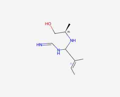 C/C=C(\C)C(NC=N)N[C@H](C)CO